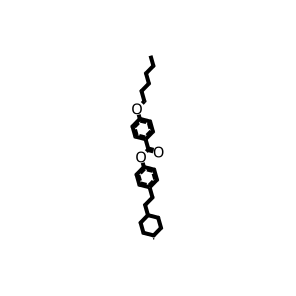 CCCCCCOc1ccc(C(=O)Oc2ccc(CCC3CC[CH]CC3)cc2)cc1